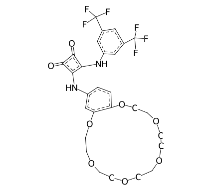 O=c1c(Nc2cc(C(F)(F)F)cc(C(F)(F)F)c2)c(Nc2ccc3c(c2)OCCOCCOCCOCCOCCO3)c1=O